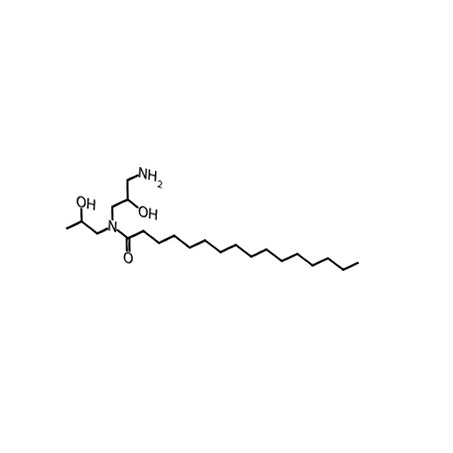 CCCCCCCCCCCCCCCC(=O)N(CC(C)O)CC(O)CN